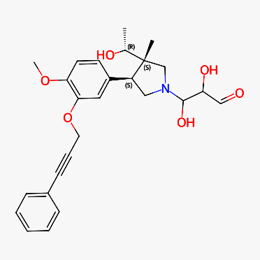 COc1ccc([C@@H]2CN(C(O)C(O)C=O)C[C@@]2(C)[C@@H](C)O)cc1OCC#Cc1ccccc1